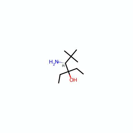 CCC(O)(CC)[C@H](N)C(C)(C)C